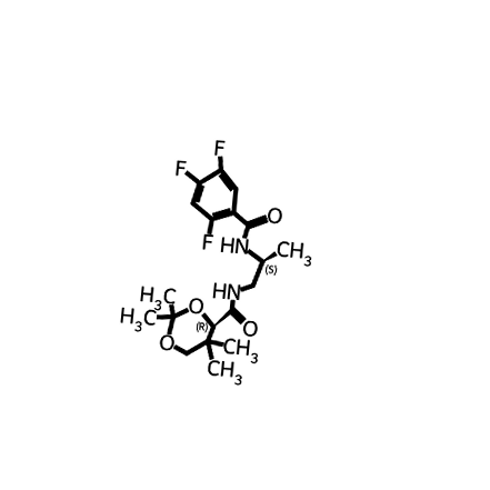 C[C@@H](CNC(=O)[C@@H]1OC(C)(C)OCC1(C)C)NC(=O)c1cc(F)c(F)cc1F